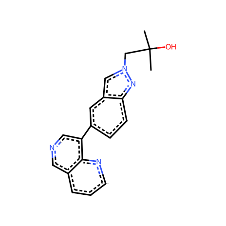 CC(C)(O)Cn1cc2cc(-c3cncc4cc[c]nc34)ccc2n1